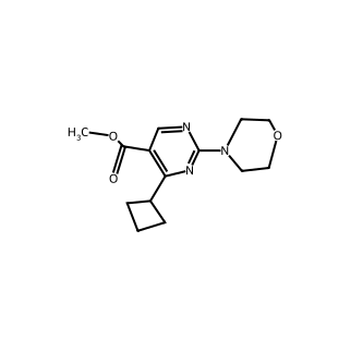 COC(=O)c1cnc(N2CCOCC2)nc1C1CCC1